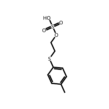 Cc1ccc(SCCOS(=O)(=O)O)cc1